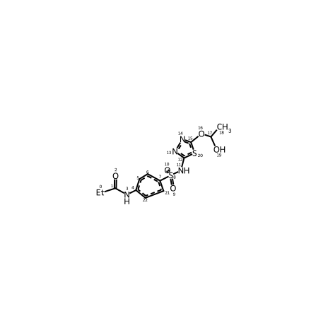 CCC(=O)Nc1ccc(S(=O)(=O)Nc2nnc(OC(C)O)s2)cc1